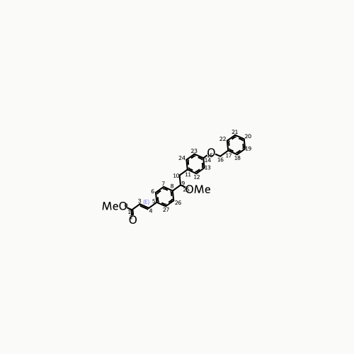 COC(=O)/C=C/c1ccc(C(Cc2ccc(OCc3ccccc3)cc2)OC)cc1